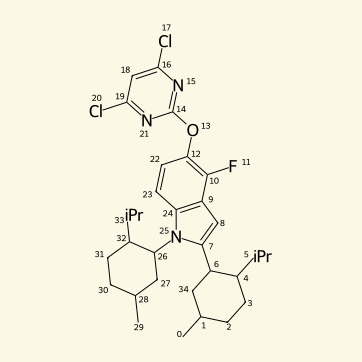 CC1CCC(C(C)C)C(c2cc3c(F)c(Oc4nc(Cl)cc(Cl)n4)ccc3n2C2CC(C)CCC2C(C)C)C1